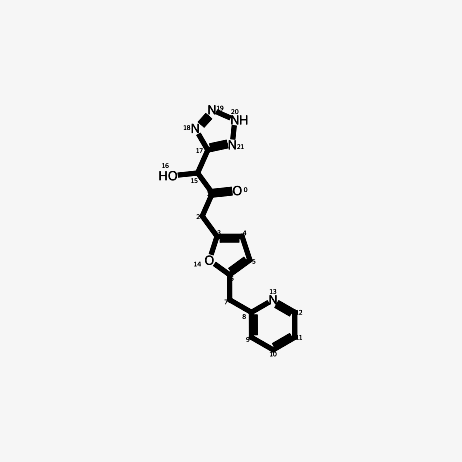 O=C(Cc1ccc(Cc2ccccn2)o1)C(O)c1nn[nH]n1